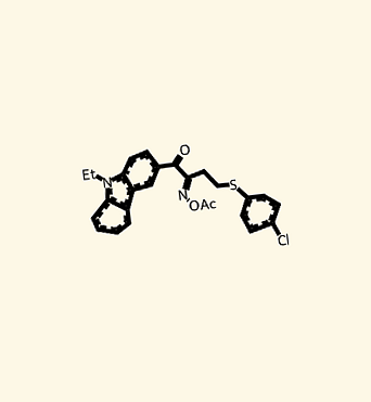 CCn1c2ccccc2c2cc(C(=O)C(CCSc3ccc(Cl)cc3)=NOC(C)=O)ccc21